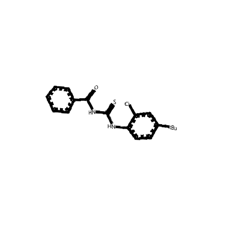 CC(C)(C)c1ccc(NC(=S)NC(=O)c2ccccc2)c(Cl)c1